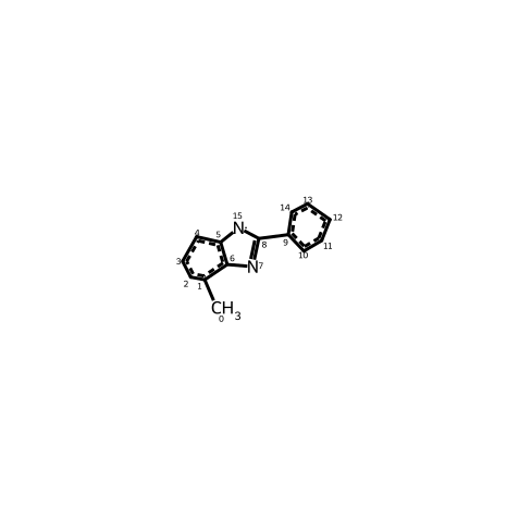 Cc1cccc2c1N=C(c1ccccc1)[N]2